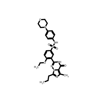 CCCc1nc(C)c2c(=O)[nH]c(-c3cc(S(=O)(=O)Nc4ccc(N5CCOCC5)cc4)ccc3OCC)nn12